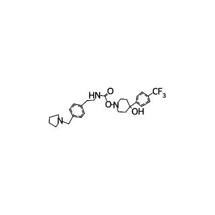 O=C(NCCc1ccc(CN2CCCC2)cc1)ON1CCC(O)(c2ccc(C(F)(F)F)cc2)CC1